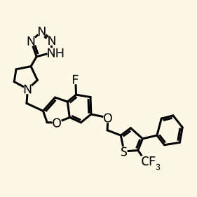 Fc1cc(OCc2cc(-c3ccccc3)c(C(F)(F)F)s2)cc2c1C=C(CN1CCC(c3nnn[nH]3)C1)CO2